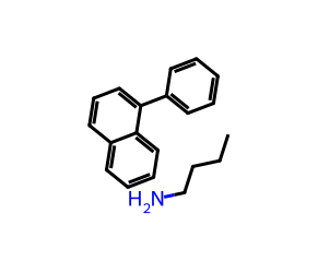 CCCCN.c1ccc(-c2cccc3ccccc23)cc1